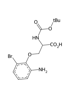 CC(C)(C)OC(=O)NC(COc1c(N)cccc1Br)C(=O)O